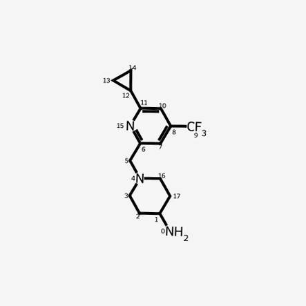 NC1CCN(Cc2cc(C(F)(F)F)cc(C3CC3)n2)CC1